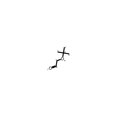 CC(C)(C)O[CH]C=O